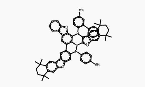 CC(C)(C)c1ccc(N2B3c4oc5cc6c(cc5c4N(c4ccc(C(C)(C)C)cc4-c4ccccc4)c4c3c(cc3c4oc4ccccc43)-c3cc4c(cc32)sc2cc3c(cc24)C(C)(C)CCC3(C)C)C(C)(C)CCC6(C)C)cc1